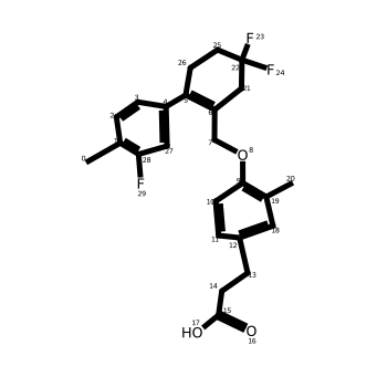 Cc1ccc(C2=C(COc3ccc(CCC(=O)O)cc3C)CC(F)(F)CC2)cc1F